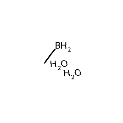 BC.O.O